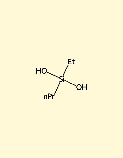 CCC[Si](O)(O)CC